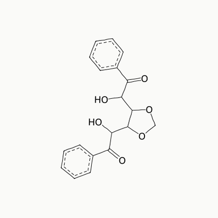 O=C(c1ccccc1)C(O)C1OCOC1C(O)C(=O)c1ccccc1